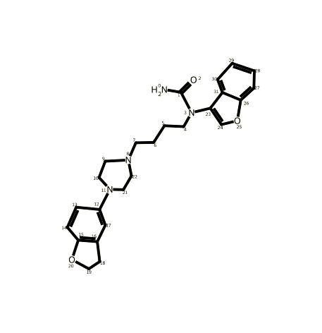 NC(=O)N(CCCCN1CCN(c2ccc3c(c2)CCO3)CC1)c1coc2ccccc12